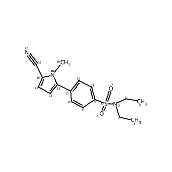 CCN(CC)S(=O)(=O)c1ccc(-c2ccc(C#N)n2C)cc1